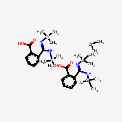 C[Si](C)(C)N=C(N[Si](C)(C)C)c1ccccc1C(=O)O.C[Si](C)(C)N=C(N[Si](C)(C)C)c1ccccc1C(=O)O.[CH3][Zr][CH3]